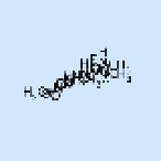 COCC(=O)N1CCc2nc(N[C@H]3N=CC(F)=C(C4=C[C@H](F)C5N[C@H](C)N(C(C)C)C5=C4)N3)ccc2C1